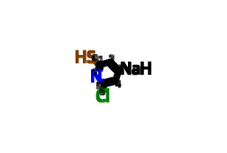 Sc1cccc(Cl)n1.[NaH]